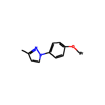 Cc1ccn(-c2ccc(OC(C)C)cc2)n1